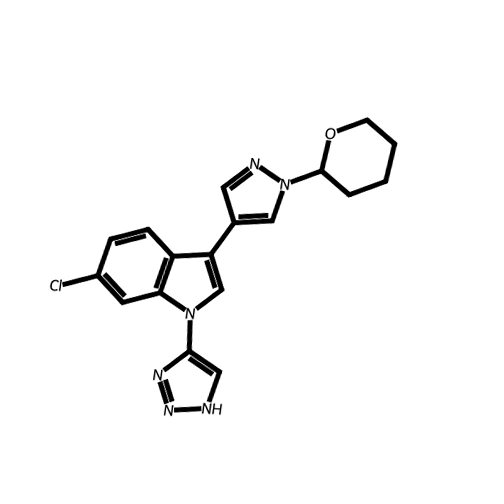 Clc1ccc2c(-c3cnn(C4CCCCO4)c3)cn(-c3c[nH]nn3)c2c1